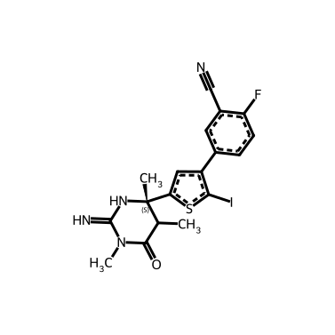 CC1C(=O)N(C)C(=N)N[C@]1(C)c1cc(-c2ccc(F)c(C#N)c2)c(I)s1